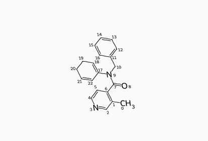 Cc1cnccc1C(=O)N(Cc1ccccc1)C1=CCCC=C1